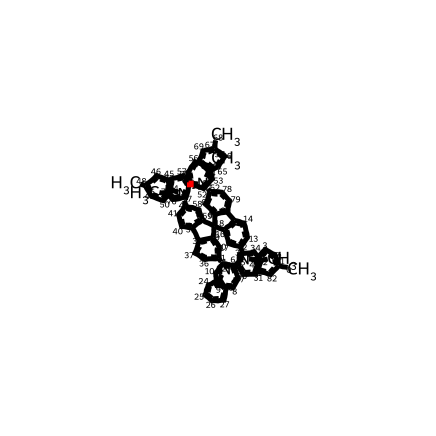 Cc1ccc(N(c2ccccc2)c2ccc3c(c2)C2(c4cc(N(c5ccccc5)c5ccc(C)cc5)ccc4-c4ccc(N(c5ccc(C)cc5)c5ccc(C)cc5)cc42)c2cc(N(c4ccc(C)cc4)c4ccc(C)cc4)ccc2-3)cc1